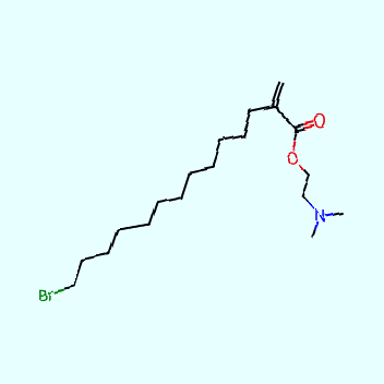 C=C(CCCCCCCCCCCCBr)C(=O)OCCN(C)C